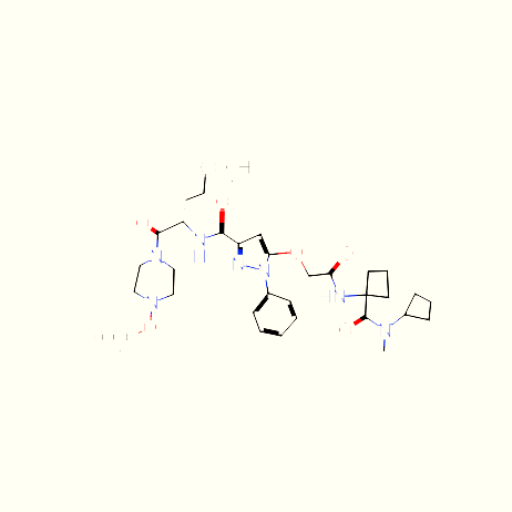 CCOC(=O)ON1CCN(C(=O)[C@H](CCC(=O)O)NC(=O)c2cc(OCC(=O)NC3(C(=O)N(C)C4CCC4)CCC3)n(-c3ccccc3)n2)CC1